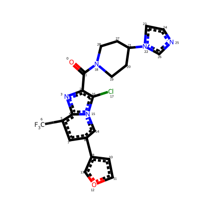 O=C(c1nc2c(C(F)(F)F)cc(-c3ccoc3)cn2c1Cl)N1CCC(n2ccnc2)CC1